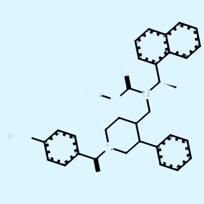 C[C@H](c1cccc2ccccc12)N(CC1CCN(C(=O)c2ccc(C(=O)O)cc2)CC1c1ccccc1)C(=O)OC(C)(C)C